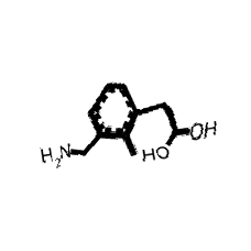 Cc1c(CN)cccc1CC(O)O